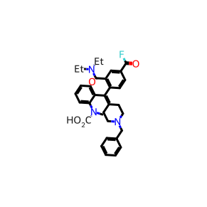 CCN(CC)C(=O)c1cc(C(=O)F)ccc1C(=C1CCN(Cc2ccccc2)CC1)c1ccccc1N(C)C(=O)O